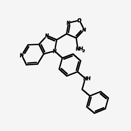 Nc1nonc1-c1nc2cnccc2n1-c1ccc(NCc2ccccc2)cc1